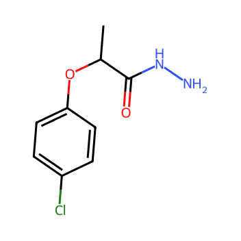 CC(Oc1ccc(Cl)cc1)C(=O)NN